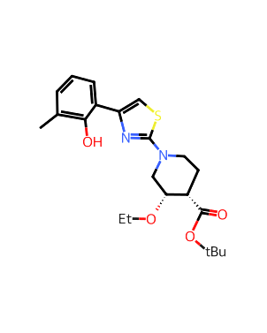 CCO[C@@H]1CN(c2nc(-c3cccc(C)c3O)cs2)CC[C@@H]1C(=O)OC(C)(C)C